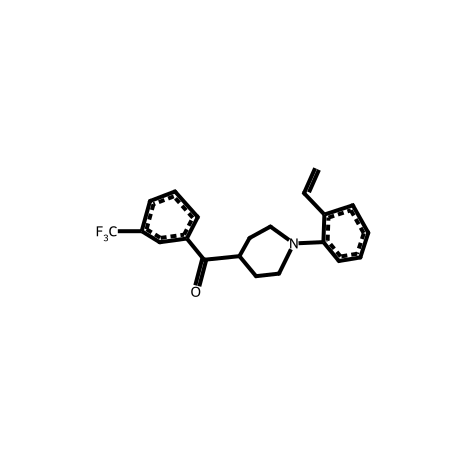 C=Cc1ccccc1N1CCC(C(=O)c2cccc(C(F)(F)F)c2)CC1